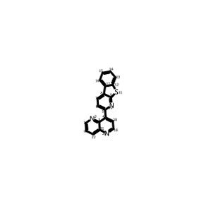 c1cnc2c(-c3ccc4c(n3)sc3ccccc34)ccnc2c1